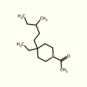 CCC(C)CCC1(CC)CCN(C(C)=O)CC1